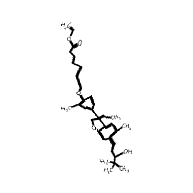 CCOC(=O)CCCCCCOc1ccc(C(CC)(CC)c2ccc(CCC(O)C(C)(C)C)c(C)c2)cc1C